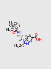 COc1nc2cc(C(=O)O)ccc2n1CCCNC(=O)OC(C)(C)C